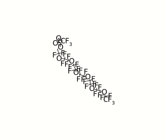 O=S(=O)(OCC(F)(F)OC(F)(F)C(F)(F)OC(F)(F)C(F)(F)OC(F)(F)C(F)(F)OC(F)(F)C(F)(F)OC(F)(F)C(F)(F)OC(F)(F)C(F)(F)F)C(F)(F)F